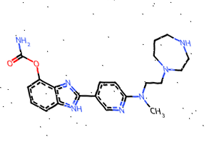 CN(CCN1CCCNCC1)c1ccc(-c2nc3c(OC(N)=O)cccc3[nH]2)cn1